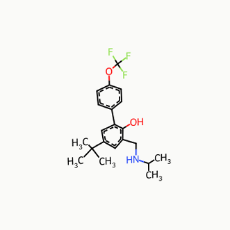 CC(C)NCc1cc(C(C)(C)C)cc(-c2ccc(OC(F)(F)F)cc2)c1O